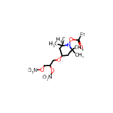 CCC(=O)ON1C(C)(C)CC(OCC(CO[N+](=O)[O-])O[N+](=O)[O-])CC1(C)C